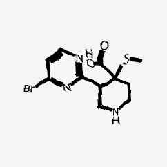 CSC1(C(=O)O)CCNCC1c1nccc(Br)n1